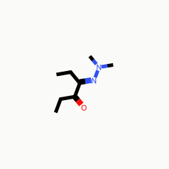 CCC(=O)/C(CC)=N/N(C)C